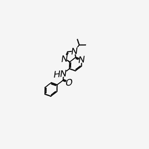 CC(C)n1cnc2c(NC(=O)c3ccccc3)ccnc21